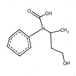 CC(CCO)N(C(=O)O)c1ccccc1